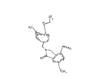 CC(=O)Nc1nc(C)cc2c1CN(Cc1cnc(OCC(F)(F)F)c(C)c1)C2=O